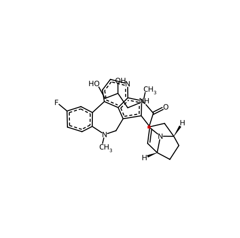 CN(CC(O)CO)C(=O)CN1[C@H]2CC[C@@H]1C=C(c1[nH]c3nccc4c3c1CN(C)c1ccc(F)cc1-4)C2